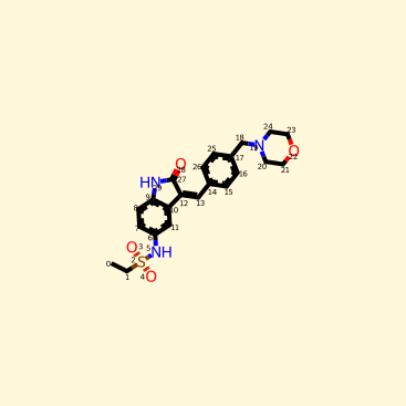 CCS(=O)(=O)Nc1ccc2c(c1)C(=Cc1ccc(CN3CCOCC3)cc1)C(=O)N2